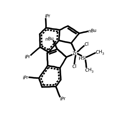 CCCCC1=Cc2c(C(C)C)cc(C(C)C)cc2[CH]1[Zr]([Cl])([Cl])([CH]1C(CCCC)=Cc2c(C(C)C)cc(C(C)C)cc21)[SiH](C)C